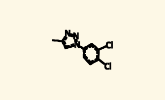 Cc1cn(-c2ccc(Cl)c(Cl)c2)nn1